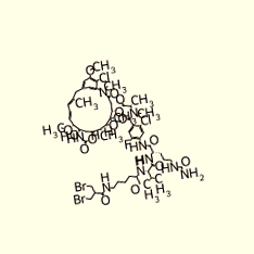 COc1cc2cc(c1Cl)N(C)C(=O)C[C@H](OC(=O)[C@H](C)N(C)C(=O)c1cc(F)c(NC(=O)[C@H](CCCNC(N)=O)NC(=O)[C@@H](NC(C=O)CCCCNC(=O)C(CBr)CBr)C(C)C)cc1Cl)[C@]1(C)O[C@H]1[C@H](C)[C@@H]1C[C@@](O)(NC(=O)O1)[C@H](OC)/C=C/C=C(\C)C2